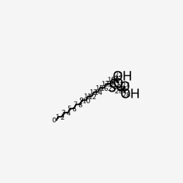 CCCCCCCCCCCCCCCCCCC(CC(=O)O)SCCC(=O)O